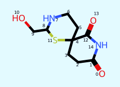 O=C1CCC2(CCNC(CO)S2)C(=O)N1